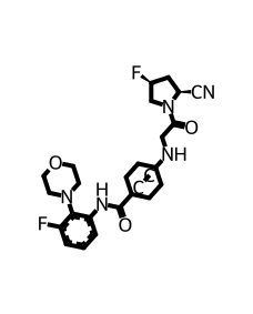 N#C[C@@H]1C[C@H](F)CN1C(=O)CNC12CCC(C(=O)Nc3cccc(F)c3N3CCOCC3)(CC1)CC2